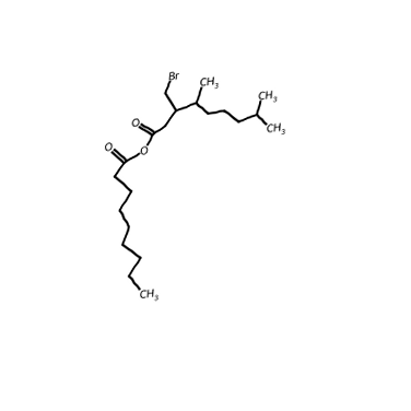 CCCCCCCCC(=O)OC(=O)CC(CBr)C(C)CCCC(C)C